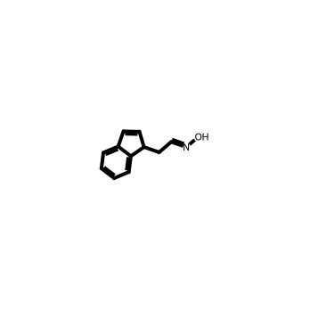 ON=CCC1C=Cc2ccccc21